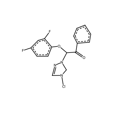 O=C(c1ccccc1)C(Oc1ccc(F)cc1F)N1CN(Cl)C=N1